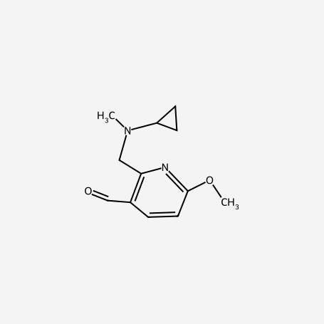 COc1ccc(C=O)c(CN(C)C2CC2)n1